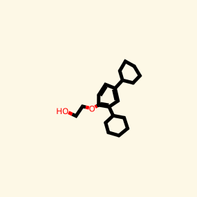 OCCOc1ccc(C2CCCCC2)cc1C1CCCCC1